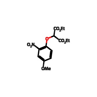 CCOC(=O)C(Oc1ccc(OC)cc1[N+](=O)[O-])C(=O)OCC